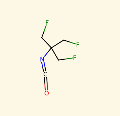 O=C=NC(CF)(CF)CF